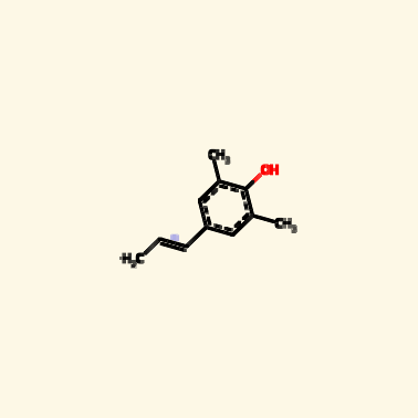 [CH2]/C=C/c1cc(C)c(O)c(C)c1